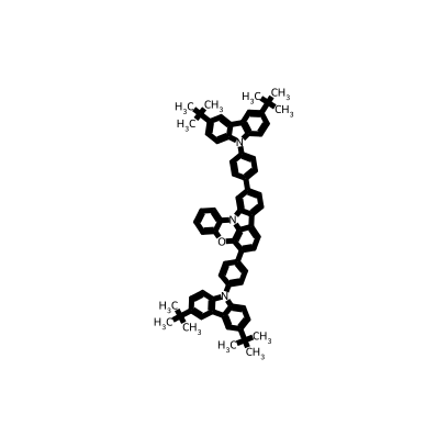 CC(C)(C)c1ccc2c(c1)c1cc(C(C)(C)C)ccc1n2-c1ccc(-c2ccc3c4ccc(-c5ccc(-n6c7ccc(C(C)(C)C)cc7c7cc(C(C)(C)C)ccc76)cc5)c5c4n(c3c2)-c2ccccc2O5)cc1